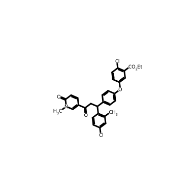 CCOC(=O)c1cc(Oc2ccc(C(CC(=O)c3ccc(=O)n(C)c3)c3ccc(Cl)cc3C)cc2)ccc1Cl